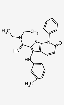 CCN(CC)C(=N)c1sc2c(ccc(=O)n2-c2ccccc2)c1Nc1cccc(C)c1